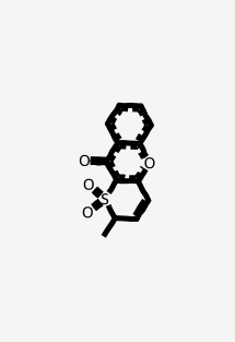 CC1C=Cc2oc3ccccc3c(=O)c2S1(=O)=O